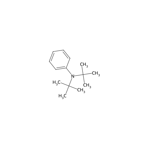 CC(C)(C)N(c1ccccc1)C(C)(C)C